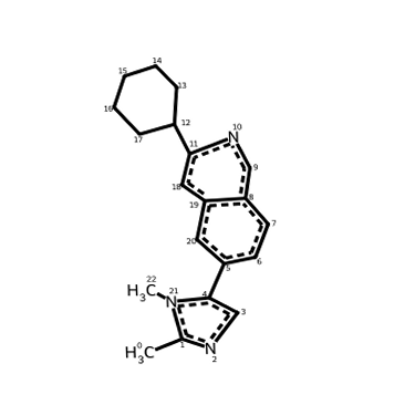 Cc1ncc(-c2ccc3cnc(C4CCCCC4)cc3c2)n1C